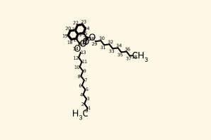 CCCCCCCCCCCCCCOC(=O)c1cccc2cccc(C(=O)OCCCCCCCCCC)c12